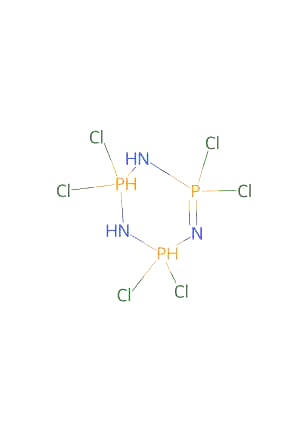 ClP1(Cl)=N[PH](Cl)(Cl)N[PH](Cl)(Cl)N1